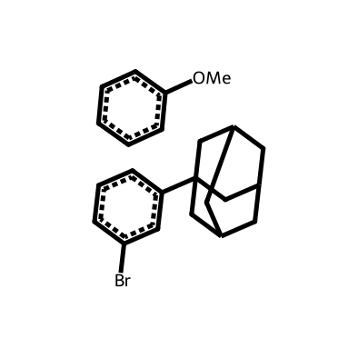 Brc1cccc(C23CC4CC(CC(C4)C2)C3)c1.COc1ccccc1